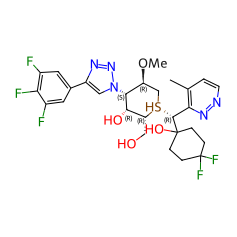 CO[C@H]1C[SH]([C@H](c2nnccc2C)C2(O)CCC(F)(F)CC2)[C@H](CO)[C@H](O)[C@@H]1n1cc(-c2cc(F)c(F)c(F)c2)nn1